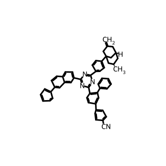 C=C1C[C@@H]2C[C@H](C)CC(c3ccc(-c4nc(-c5ccc6ccc(-c7ccccc7)cc6c5)nc(-c5ccc(-c6ccc(C#N)cc6)cc5-c5ccccc5)n4)cc3)(C1)C2